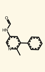 Cc1ncc(NC=O)cc1-c1ccccc1